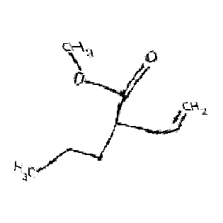 C=CC(CCC)C(=O)OC